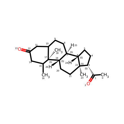 CC(=O)[C@H]1CC[C@H]2[C@@H]3CCC4CC(=O)CC(C)[C@]4(C)[C@H]3CC[C@]12C